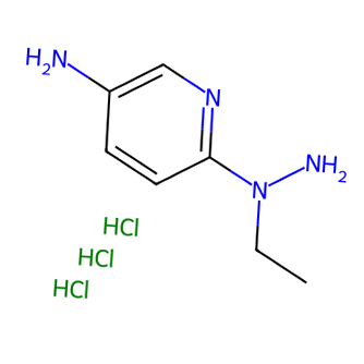 CCN(N)c1ccc(N)cn1.Cl.Cl.Cl